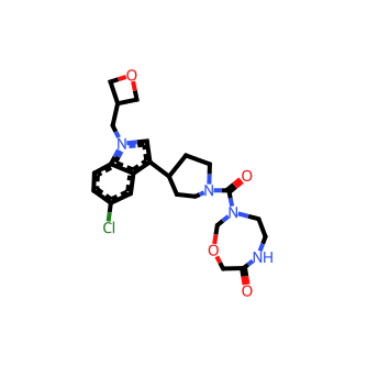 O=C1COCN(C(=O)N2CCC(c3cn(CC4COC4)c4ccc(Cl)cc34)CC2)CCN1